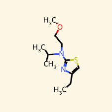 CCc1csc(N(CCOC)C(C)C)n1